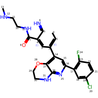 C/C=C(\C=C(/C=N)C(=O)NCCNC)c1cc(-c2cc(Cl)ccc2F)nc2c1OCCN2